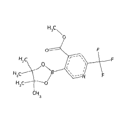 COC(=O)c1cc(C(F)(F)F)ncc1B1OC(C)(C)C(C)(C)O1